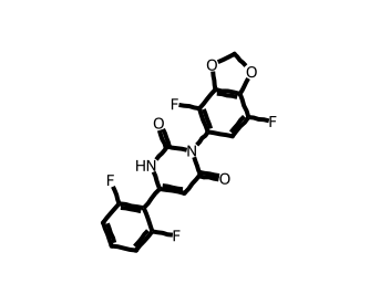 O=c1cc(-c2c(F)cccc2F)[nH]c(=O)n1-c1cc(F)c2c(c1F)OCO2